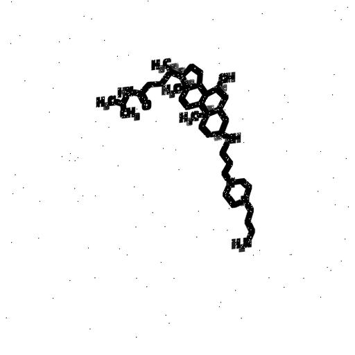 CC(C)NC(=O)CC[C@@H](C)[C@H]1CCC2C3C(CC[C@@]21C)[C@@]1(C)CC[C@H](NCCCN2CCN(CCCN)CC2)CC1C[C@@H]3O